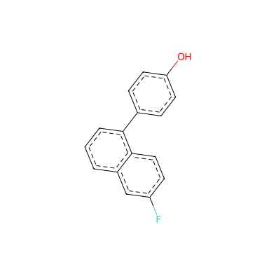 Oc1ccc(-c2cccc3cc(F)ccc23)cc1